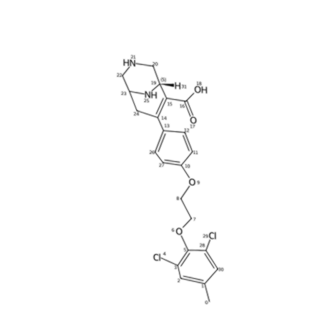 Cc1cc(Cl)c(OCCOc2ccc(C3=C(C(=O)O)[C@H]4CNCC(C3)N4)cc2)c(Cl)c1